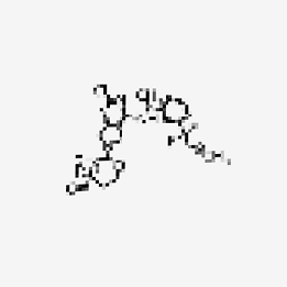 COCC(F)(F)c1cccc(C(C)Nc2nc(Cl)nc3c2CN(C2CC(C=O)(OC)CCO2)C3)c1